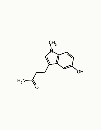 Cn1cc(CCC(N)=O)c2cc(O)ccc21